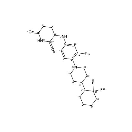 O=C1CCC(Nc2ccc(N3CCC(C4CCCCC4(F)F)CC3)c(F)c2)C(=O)N1